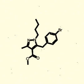 CCCCn1nc(C)c(C(=O)OC)c1Cc1ccc(Br)cc1